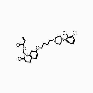 C=CC(=O)OCN1C(=O)CCc2ccc(OCCCCN3CCN(c4cccc(Cl)c4Cl)CC3)cc21